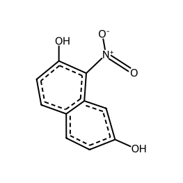 O=[N+]([O-])c1c(O)ccc2ccc(O)cc12